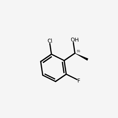 C[C@H](O)c1c(F)cccc1Cl